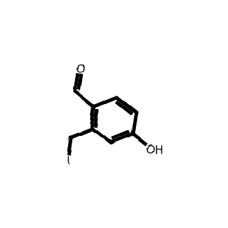 O=Cc1ccc(O)cc1CI